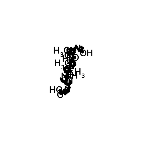 Cc1c(NC(=O)c2cc(CN3CCC(O)C3)cn(C)c2=O)cccc1-c1cccc(Nc2nccc3cc(CN4CCC(C(=O)O)C4)cnc23)c1C